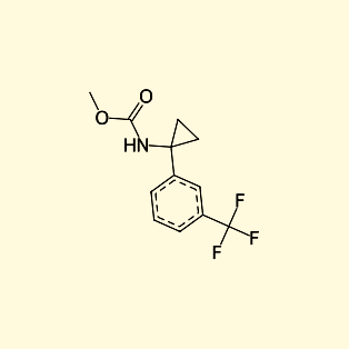 COC(=O)NC1(c2cccc(C(F)(F)F)c2)CC1